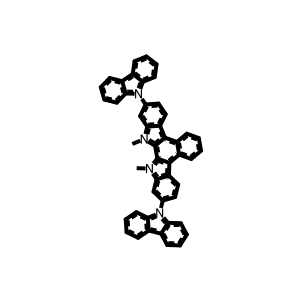 Cn1c2cc(-n3c4ccccc4c4ccccc43)ccc2c2c3ccccc3c3c4ccc(-n5c6ccccc6c6ccccc65)cc4n(C)c3c21